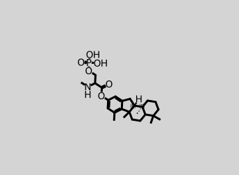 CNC(COP(=O)(O)O)C(=O)Oc1cc(C)c2c(c1)C[C@H]1C2(C)CCC2C(C)(C)CCC[C@@]21C